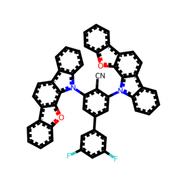 N#Cc1c(-n2c3ccccc3c3ccc4c5ccccc5oc4c32)cc(-c2cc(F)cc(F)c2)cc1-n1c2ccccc2c2ccc3c4ccccc4oc3c21